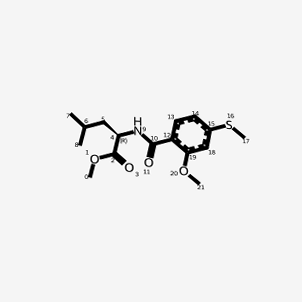 COC(=O)[C@@H](CC(C)C)NC(=O)c1ccc(SC)cc1OC